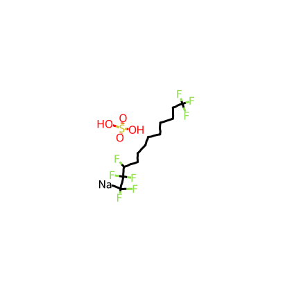 FC(CCCCCCCCC(F)(F)F)C(F)(F)[C](F)(F)[Na].O=S(=O)(O)O